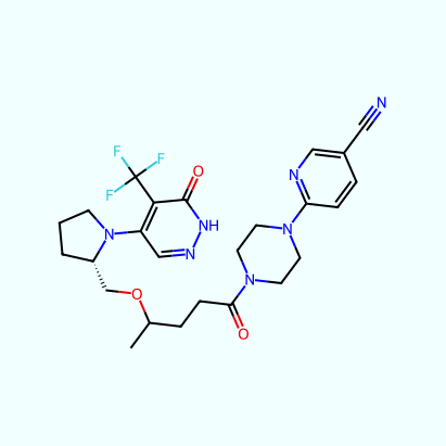 CC(CCC(=O)N1CCN(c2ccc(C#N)cn2)CC1)OC[C@@H]1CCCN1c1cn[nH]c(=O)c1C(F)(F)F